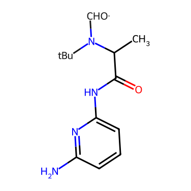 CC(C(=O)Nc1cccc(N)n1)N([C]=O)C(C)(C)C